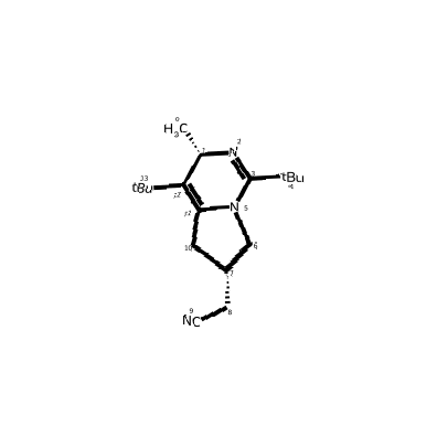 C[C@@H]1N=C(C(C)(C)C)N2C[C@H](CC#N)CC2=C1C(C)(C)C